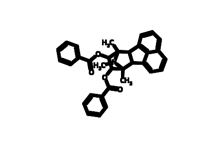 CN1C2(C)C(OC(=O)c3ccccc3)C(OC(=O)c3ccccc3)C1(C)C1c3cccc4cccc(c34)C12